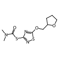 CN(C)C(=O)Sc1nsc(OCC2CCCO2)n1